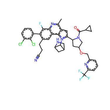 Cc1nc2c(F)c(-c3cccc(Cl)c3Cl)c(CCC#N)cc2c2c1cc(C1CC(OCc3cccc(C(F)(F)F)n3)CN1C(=O)C1CC1)n2C1C2CNC1C2